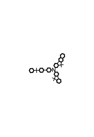 CC(C)(c1ccccc1)c1ccc(-c2ccc(N(c3ccc4c(c3)C(C)(C)c3ccccc3-4)c3ccc4c(c3)C(C)(C)c3cc5ccccc5cc3-4)cc2)cc1